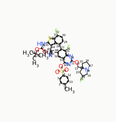 Cc1ccc(S(=O)(=O)Oc2nc(OC[C@@]34CCCN3C[C@H](F)C4)nc3c(F)c(-c4ccc(F)c5sc(NC(=O)OC(C)(C)C)c(C#N)c45)c(C)cc23)cc1